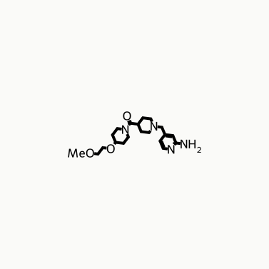 COCCOC1CCN(C(=O)C2CCN(Cc3ccnc(N)c3)CC2)CC1